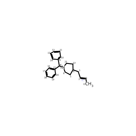 C/C=C/CC1CCN(C(c2ccccc2)c2ccccc2)CC1